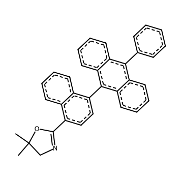 CC1(C)CN=C(c2ccc(-c3c4ccccc4c(-c4ccccc4)c4ccccc34)c3ccccc23)O1